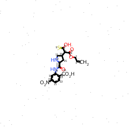 C=CCOC(=O)C(C(O)=S)C1CNC(C(=O)Nc2cc([N+](=O)[O-])ccc2C(=O)O)C1